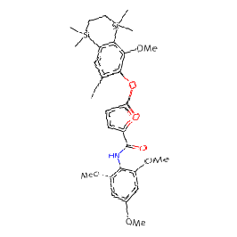 COc1cc(OC)c(NC(=O)c2ccc(Oc3c(C)cc4c(c3OC)[Si](C)(C)CC[Si]4(C)C)o2)c(OC)c1